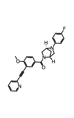 COc1ccc(C(=O)N2C[C@@H]3C[C@@H]2CN3c2ccc(F)cc2)cc1C#Cc1ccccn1